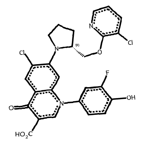 O=C(O)c1cn(-c2ccc(O)c(F)c2)c2cc(N3CCC[C@@H]3COc3ncccc3Cl)c(Cl)cc2c1=O